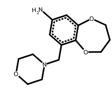 Nc1cc(CN2CCOCC2)c2c(c1)OCCCO2